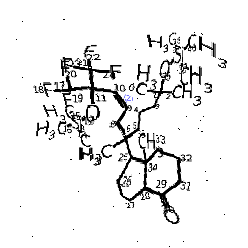 CC(C)(CCCC(C)(C/C=C\C(O[Si](C)(C)C)(C(F)(F)F)C(F)(F)F)C1CCC2C(=O)CCCC21C)O[Si](C)(C)C